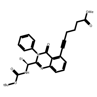 CC[C@H](NC(=O)OC(C)(C)C)c1nc2cccc(C#CCCCC(=O)OC)c2c(=O)n1-c1ccccc1